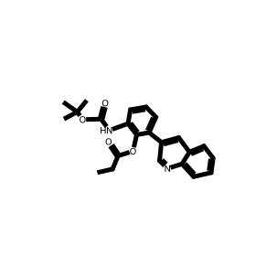 CCC(=O)Oc1c(NC(=O)OC(C)(C)C)cccc1-c1cnc2ccccc2c1